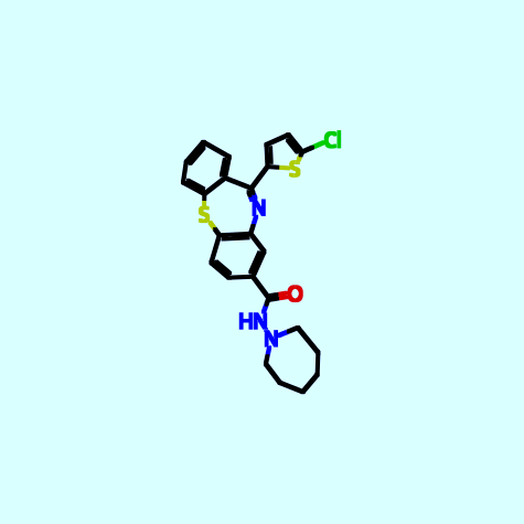 O=C(NN1CCCCCC1)c1ccc2c(c1)N=C(c1ccc(Cl)s1)c1ccccc1S2